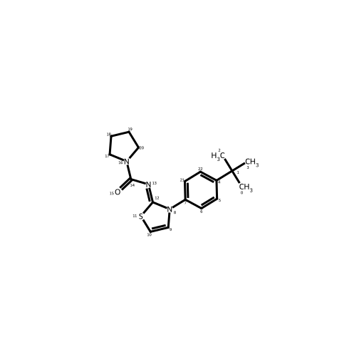 CC(C)(C)c1ccc(-n2ccsc2=NC(=O)N2CCCC2)cc1